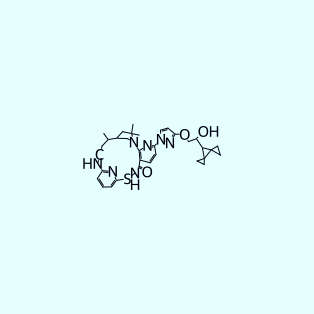 CC1CCNc2cccc(n2)SNC(=O)c2ccc(-n3ccc(OCC(O)C4C5(CC5)C45CC5)n3)nc2N2CC1CC2(C)C